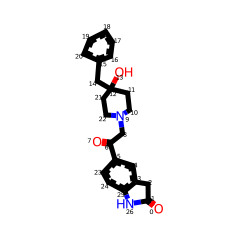 O=C1Cc2cc(C(=O)CN3CCC(O)(Cc4ccccc4)CC3)ccc2N1